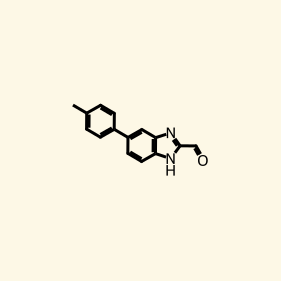 Cc1ccc(-c2ccc3[nH]c(C=O)nc3c2)cc1